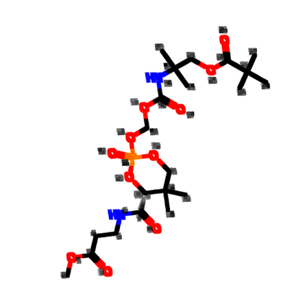 COC(=O)CCNC(=O)[C@@H]1OP(=O)(OCOC(=O)NC(C)(C)COC(=O)C(C)(C)C)OCC1(C)C